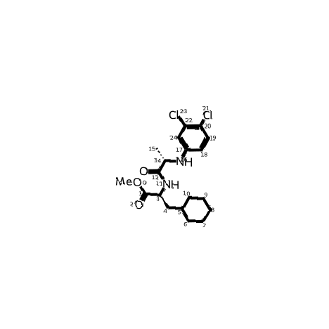 COC(=O)[C@H](CC1CCCCC1)NC(=O)[C@H](C)Nc1ccc(Cl)c(Cl)c1